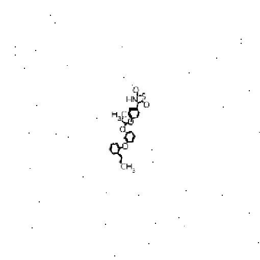 CCCc1ccccc1Oc1cccc(OC(CC)Oc2ccc(C3NC(=O)SC3=O)cc2)c1